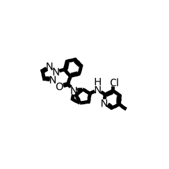 Cc1cnc(NC2CC3CC2N(C(=O)c2ccccc2-n2nccn2)C3)c(Cl)c1